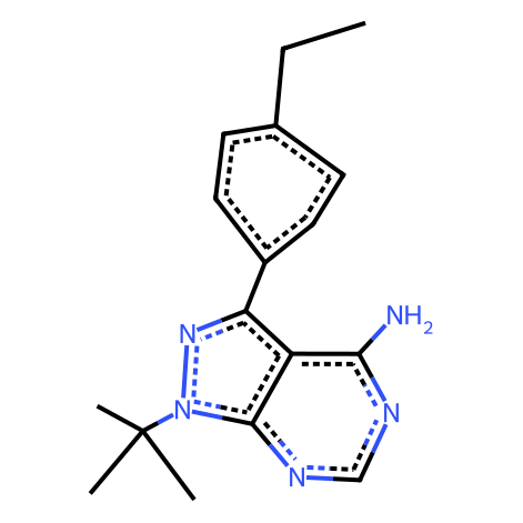 CCc1ccc(-c2nn(C(C)(C)C)c3ncnc(N)c23)cc1